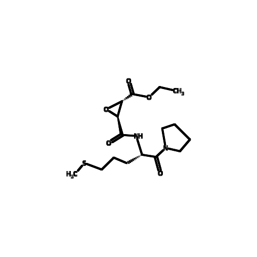 CCOC(=O)[C@H]1O[C@@H]1C(=O)N[C@@H](CCCSC)C(=O)N1CCCC1